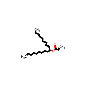 C=CC(=O)OC(CCCCCCCCC)CCCCCCCCC